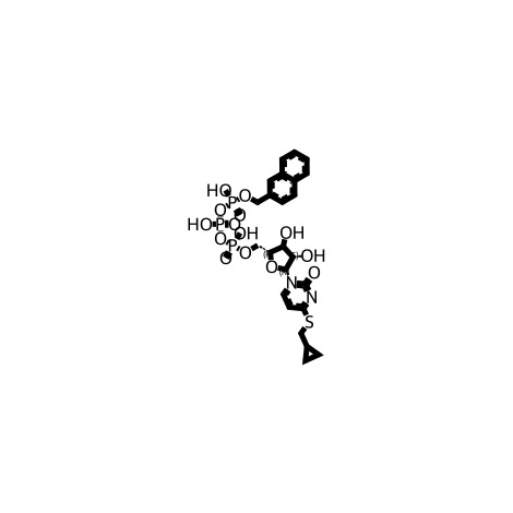 O=c1nc(SCC2CC2)ccn1[C@@H]1O[C@H](COP(=O)(O)OP(=O)(O)OP(=O)(O)OCc2ccc3ccccc3c2)C(O)[C@@H]1O